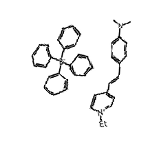 CC[n+]1ccc(/C=C/c2ccc(N(C)C)cc2)cc1.c1ccc([B-](c2ccccc2)(c2ccccc2)c2ccccc2)cc1